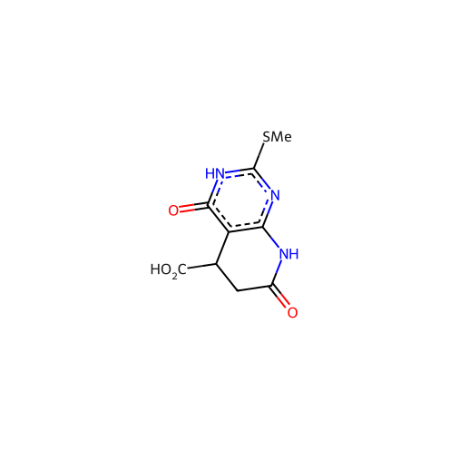 CSc1nc2c(c(=O)[nH]1)C(C(=O)O)CC(=O)N2